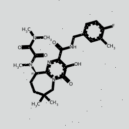 Cc1cc(CNC(=O)c2nc3n(c(=O)c2O)CC(C)(C)CC[C@H]3N(C)C(=O)C(=O)N(C)C)ccc1F